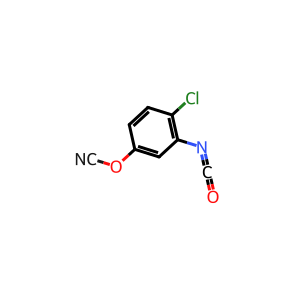 N#COc1ccc(Cl)c(N=C=O)c1